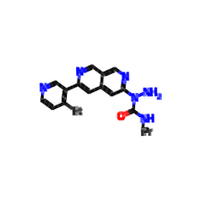 CCc1ccncc1-c1cc2cc(N(N)C(=O)NC(C)C)ncc2cn1